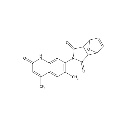 Cc1cc2c(C(F)(F)F)cc(=O)[nH]c2cc1N1C(=O)C2C3C=CC(O3)C2C1=O